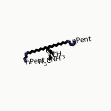 CCCCC/C=C\C/C=C\CCCCCCCCC(CCCCCCCC/C=C\C/C=C\CCCCC)OCN(C)CC(C)=N